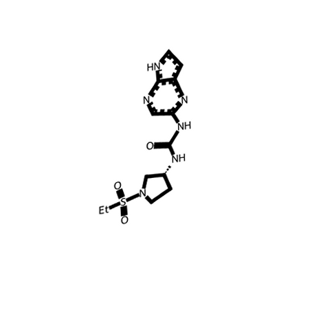 CCS(=O)(=O)N1CC[C@@H](NC(=O)Nc2cnc3[nH]ccc3n2)C1